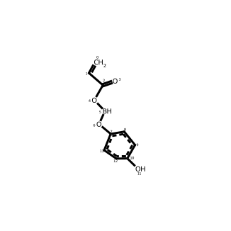 C=CC(=O)OBOc1ccc(O)cc1